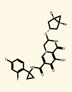 O=C(NC1(c2ccc(F)cc2F)CC1)c1cn2c(c(O)c1=O)C(=O)NC(O[C@@H]1C[C@@H]3C[C@@H]3C1)C2